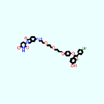 O=C1CCC(N2Cc3cc(NCCCOCCCOCCCCOc4ccc(Oc5c(-c6ccc(Br)cc6)sc6cc(O)ccc56)cc4)ccc3C2=O)C(=O)N1